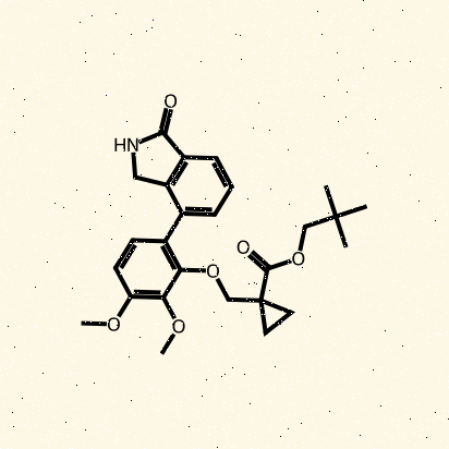 COc1ccc(-c2cccc3c2CNC3=O)c(OCC2(C(=O)OCC(C)(C)C)CC2)c1OC